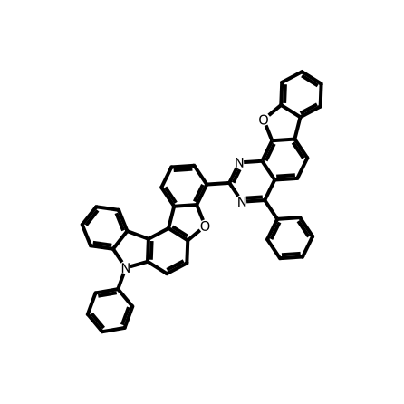 c1ccc(-c2nc(-c3cccc4c3oc3ccc5c(c6ccccc6n5-c5ccccc5)c34)nc3c2ccc2c4ccccc4oc23)cc1